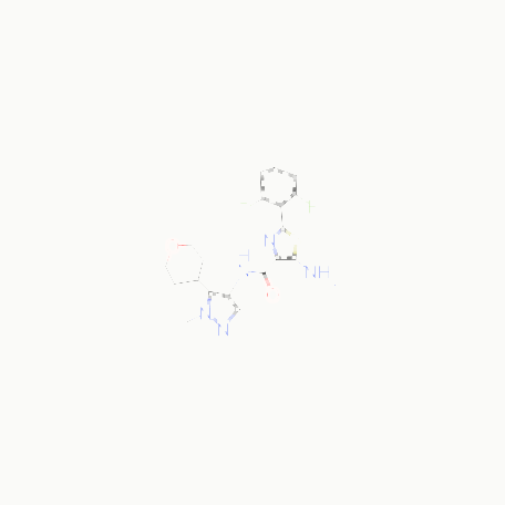 Cn1ncc(NC(=O)c2nc(-c3c(F)cccc3F)sc2N)c1C1CCOCC1